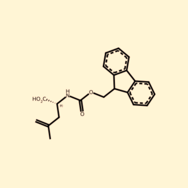 C=C(C)C[C@@H](NC(=O)OCC1c2ccccc2-c2ccccc21)C(=O)O